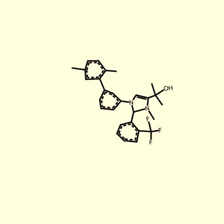 Cc1ccc(C)c(-c2cccc(N3C=C(C(C)(C)O)N(C)C3c3ccccc3C(F)(F)F)c2)c1